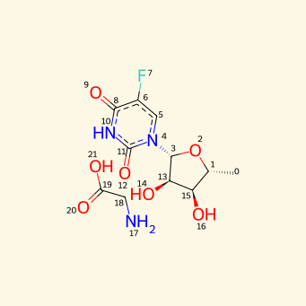 C[C@H]1O[C@@H](n2cc(F)c(=O)[nH]c2=O)[C@H](O)[C@@H]1O.NCC(=O)O